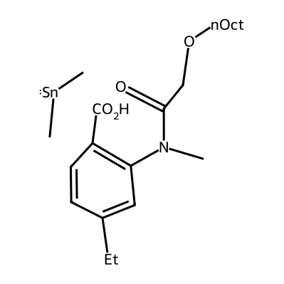 CCCCCCCCOCC(=O)N(C)c1cc(CC)ccc1C(=O)O.[CH3][Sn][CH3]